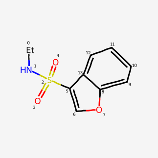 CCNS(=O)(=O)c1coc2ccccc12